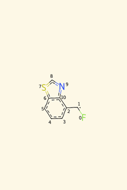 F[CH]c1cccc2scnc12